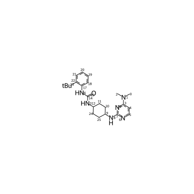 CN(C)c1ccnc(NC2CCC(NC(=O)Nc3ccccc3C(C)(C)C)CC2)n1